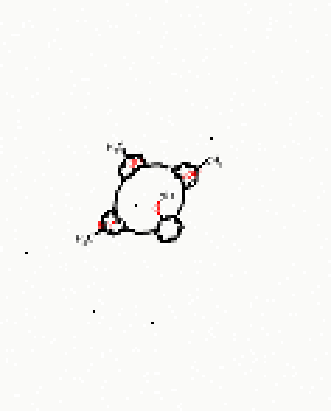 CCCOc1c2cccc1Cc1cc(C)cc(c1O)Cc1cc(C)cc(c1O)Cc1cc(C)cc(c1O)C2